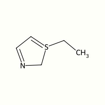 CCS1=CC=NC1